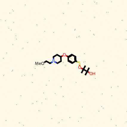 COCCN1CCC(Oc2ccc(SOC(C)(C)C(C)(C)O)cc2)CC1